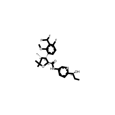 CC[C@@H](O)c1ccc(NC(=O)[C@H]2OC(C)(C)[C@H](C)[C@@H]2c2ccc(F)c(C(F)F)c2OC)cn1